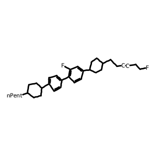 CCCCCC1CCC(c2ccc(-c3ccc(C4CCC(CCCCCCF)CC4)cc3F)cc2)CC1